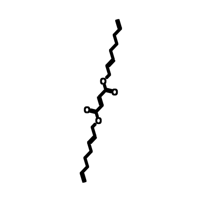 C=CCCCC=CCOC(=O)C=CC(=O)OCC=CCCCC=C